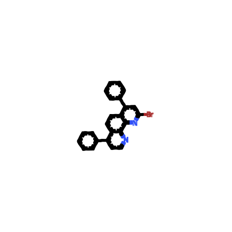 Brc1cc(-c2ccccc2)c2ccc3c(-c4ccccc4)ccnc3c2n1